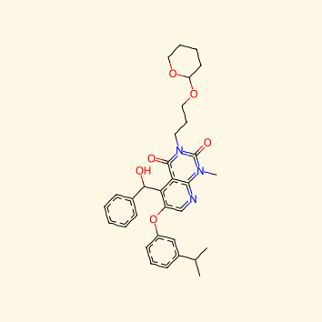 CC(C)c1cccc(Oc2cnc3c(c2C(O)c2ccccc2)c(=O)n(CCCOC2CCCCO2)c(=O)n3C)c1